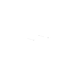 ClC[CH2][SnH]